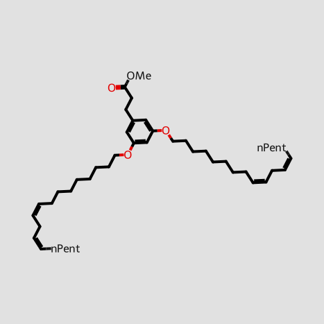 CCCCC/C=C\C/C=C\CCCCCCCCOc1cc(CCC(=O)OC)cc(OCCCCCCCC/C=C\C/C=C\CCCCC)c1